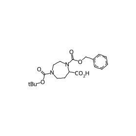 CC(C)(C)OC(=O)N1CCC(C(=O)O)N(C(=O)OCc2ccccc2)CC1